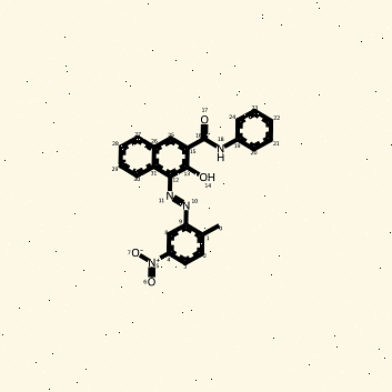 Cc1ccc([N+](=O)[O-])cc1N=Nc1c(O)c(C(=O)Nc2ccccc2)cc2ccccc12